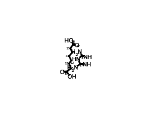 N=C(N)NC(=N)N.O=C(O)CCCCCCC(=O)O